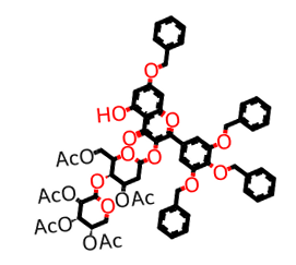 CC(=O)OCC1OC(Oc2c(-c3cc(OCc4ccccc4)c(OCc4ccccc4)c(OCc4ccccc4)c3)oc3cc(OCc4ccccc4)cc(O)c3c2=O)CC(OC(C)=O)[C@@H]1OC1OC[C@H](OC(C)=O)[C@H](OC(C)=O)C1OC(C)=O